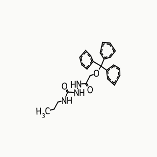 CCCNC(=O)NNC(=O)COC(c1ccccc1)(c1ccccc1)c1ccccc1